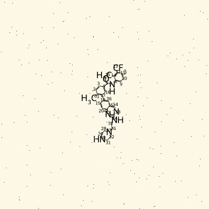 Cc1ccc(C(=O)Nc2cccc(C(F)(F)F)c2C)cc1-c1ccc2nc(NCCN3CCNCC3)ncc2c1